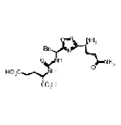 CC[C@H](C)C(NC(=O)N[C@@H](CCC(=O)O)C(=O)O)c1nc([C@@H](N)CCC(N)=O)no1